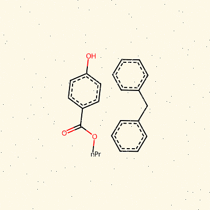 CCCOC(=O)c1ccc(O)cc1.c1ccc(Cc2ccccc2)cc1